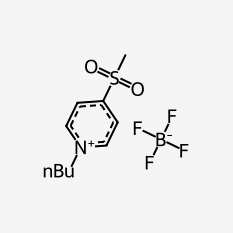 CCCC[n+]1ccc(S(C)(=O)=O)cc1.F[B-](F)(F)F